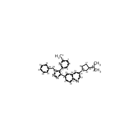 Cc1cccc(-c2c(-c3ccc4ncc(N5CCC(N(C)C)C5)cc4c3)nnn2Cc2ccccc2)n1